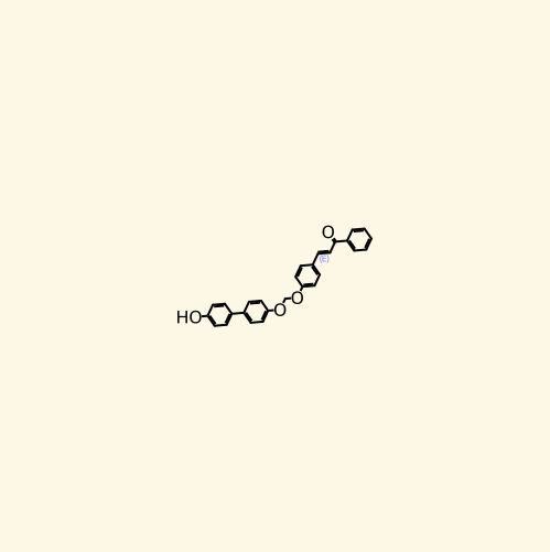 O=C(/C=C/c1ccc(OCOc2ccc(-c3ccc(O)cc3)cc2)cc1)c1ccccc1